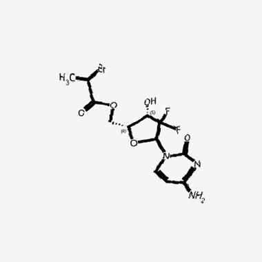 CC(Br)C(=O)OC[C@H]1OC(n2ccc(N)nc2=O)C(F)(F)[C@H]1O